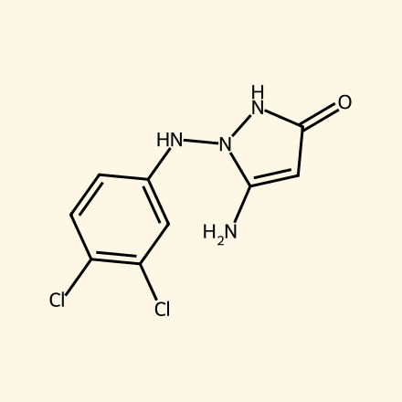 Nc1cc(=O)[nH]n1Nc1ccc(Cl)c(Cl)c1